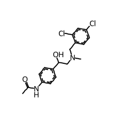 CC(=O)Nc1ccc(C(O)CN(C)Cc2ccc(Cl)cc2Cl)cc1